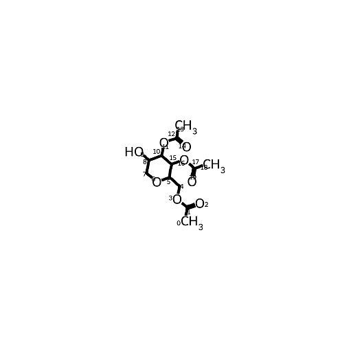 CC(=O)OCC1OCC(O)C(OC(C)=O)C1OC(C)=O